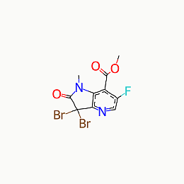 COC(=O)c1c(F)cnc2c1N(C)C(=O)C2(Br)Br